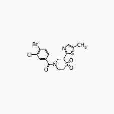 Cc1cnc(C2CN(C(=O)c3ccc(Br)c(Cl)c3)CCS2(=O)=O)s1